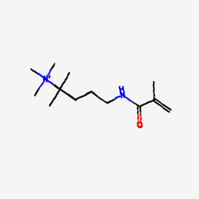 C=C(C)C(=O)NCCCC(C)(C)[N+](C)(C)C